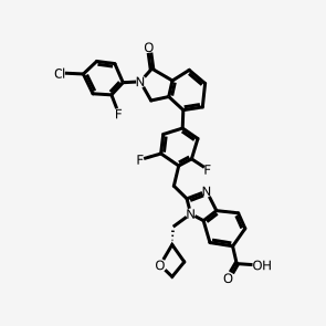 O=C(O)c1ccc2nc(Cc3c(F)cc(-c4cccc5c4CN(c4ccc(Cl)cc4F)C5=O)cc3F)n(C[C@@H]3CCO3)c2c1